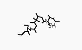 CCCC(C)N(S)C(C)CC(C)C(C)(C)C(C)CC(C)N(CC)C(C)CCC